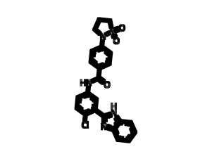 O=C(Nc1ccc(Cl)c(-c2nc3ccccc3[nH]2)c1)c1ccc(N2CCCS2(=O)=O)cc1